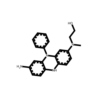 CN(CCO)c1ccc2c(c1)N(c1ccccc1)c1cc(N)ccc1N2